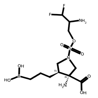 NC(COS(=O)(=O)N1C[C@H](CCCB(O)O)[C@](N)(C(=O)O)C1)C(F)F